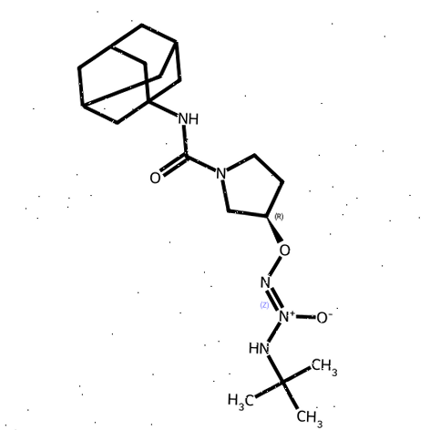 CC(C)(C)N/[N+]([O-])=N/O[C@@H]1CCN(C(=O)NC23CC4CC(CC(C4)C2)C3)C1